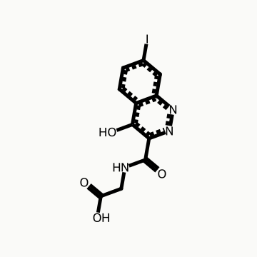 O=C(O)CNC(=O)c1nnc2cc(I)ccc2c1O